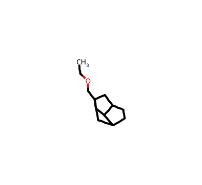 CCOCC12CC3CCC(C1)C3C2